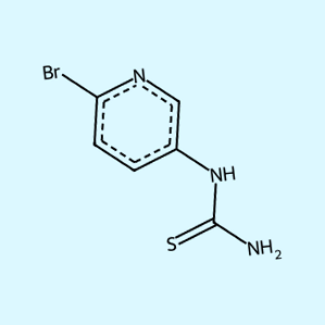 NC(=S)Nc1ccc(Br)nc1